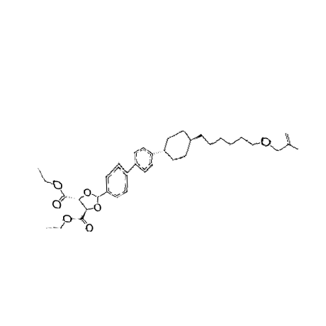 C=C(C)COCCCCCC[C@H]1CC[C@H](c2ccc(-c3ccc(C4O[C@@H](C(=O)OCC)[C@H](C(=O)OCC)O4)cc3)cc2)CC1